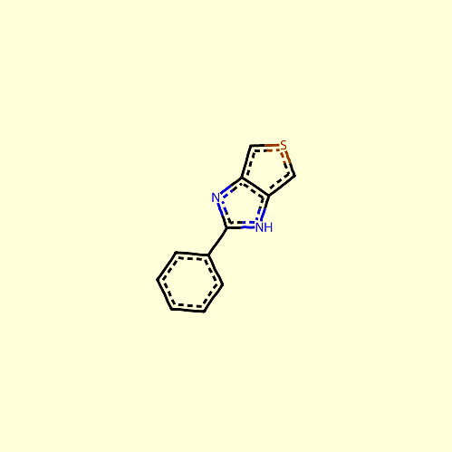 c1ccc(-c2nc3cscc3[nH]2)cc1